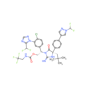 CC(C)(C)C[C@]1(c2ccc(-c3cnn(C(F)F)c3)cc2)NC(=N)N([C@H](COC(=O)NCC(F)(F)F)c2ccc(Cl)c(-n3ncnc3C(F)F)c2)C1=O